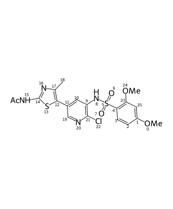 COc1ccc(S(=O)(=O)Nc2cc(-c3sc(NC(C)=O)nc3C)cnc2Cl)c(OC)c1